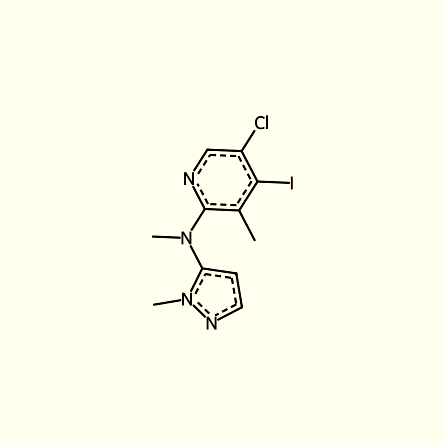 Cc1c(N(C)c2ccnn2C)ncc(Cl)c1I